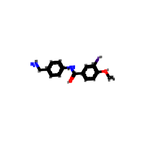 COc1ccc(C(=O)Nc2ccc(CN)cc2)cc1I